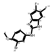 COc1ccc(Nc2nc3cc(F)c(F)cc3[nH]2)cc1Br